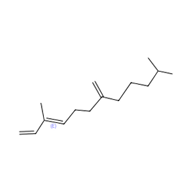 C=C/C(C)=C/CCC(=C)CCCC(C)C